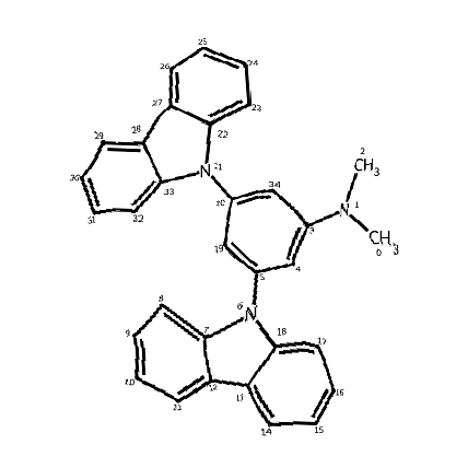 CN(C)c1cc(-n2c3ccccc3c3ccccc32)cc(-n2c3ccccc3c3ccccc32)c1